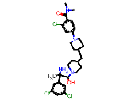 CN(C)C(=O)c1ccc(N2CCC(CC3CCN(C(O)C(N)(c4cc(Cl)cc(Cl)c4)C(F)(F)F)CC3)CC2)cc1Cl